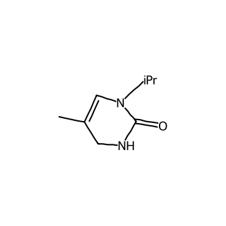 CC1=CN(C(C)C)C(=O)NC1